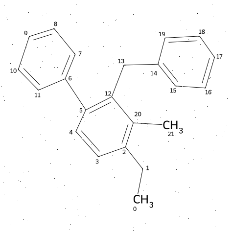 CCc1ccc(-c2ccccc2)c(Cc2ccccc2)c1C